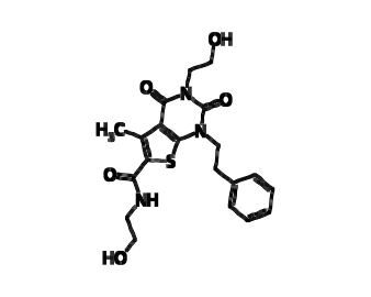 Cc1c(C(=O)NCCO)sc2c1c(=O)n(CCO)c(=O)n2CCc1ccccc1